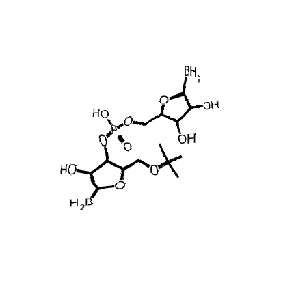 BC1OC(COP(=O)(O)OC2C(COC(C)(C)C)OC(B)C2O)C(O)C1O